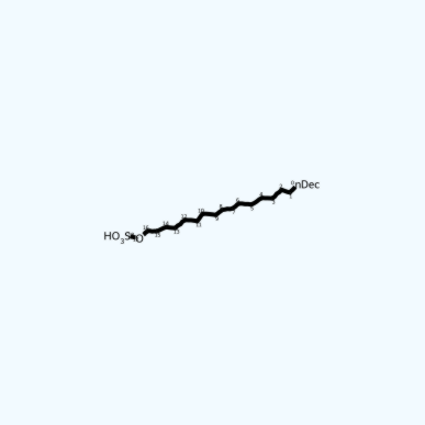 CCCCCCCCCCCCCCCCCCCCCCCCCCOS(=O)(=O)O